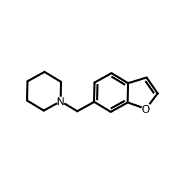 c1cc2ccc(CN3CCCCC3)cc2o1